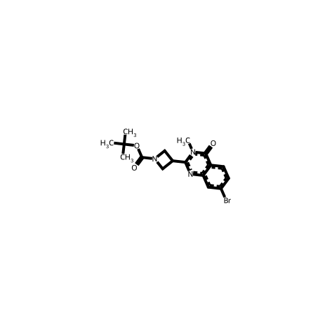 Cn1c(C2CN(C(=O)OC(C)(C)C)C2)nc2cc(Br)ccc2c1=O